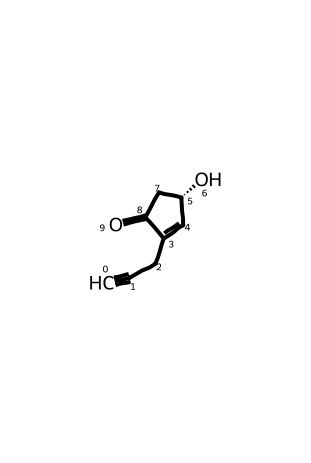 C#CCC1=C[C@@H](O)CC1=O